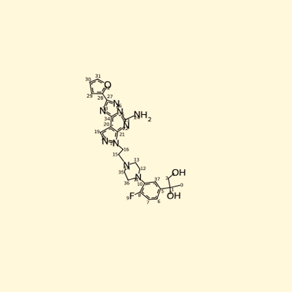 CC(O)(CO)c1ccc(F)c(N2CCN(CCn3ncc4c3nc(N)n3nc(-c5ccco5)nc43)CC2)c1